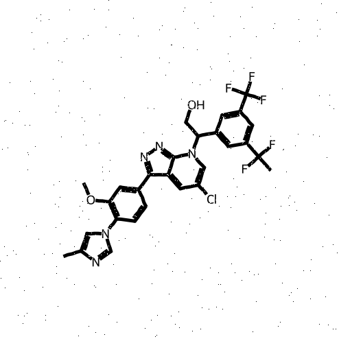 COc1cc(-c2nnc3n(C(CO)c4cc(C(C)(F)F)cc(C(F)(F)F)c4)cc(Cl)cc2-3)ccc1-n1cnc(C)c1